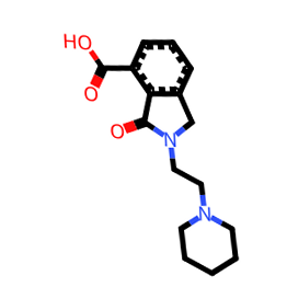 O=C(O)c1cccc2c1C(=O)N(CCN1CCCCC1)C2